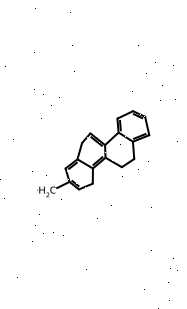 [CH2]C1=CCC2=C3CCc4ccccc4C3=CCC2=C1